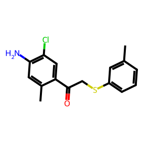 Cc1cccc(SCC(=O)c2cc(Cl)c(N)cc2C)c1